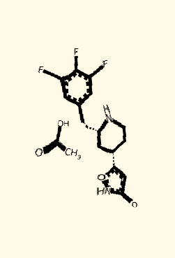 CC(=O)O.O=c1cc([C@H]2CCN[C@@H](Cc3cc(F)c(F)c(F)c3)C2)o[nH]1